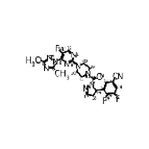 Cc1nc(C)n(-c2nc(N3CCN(C(=O)N4N=CCC4c4cc(C#N)cc(F)c4F)CC3)ncc2F)n1